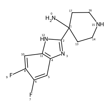 NC1(c2nc3cc(F)c(F)cc3[nH]2)CCNCC1